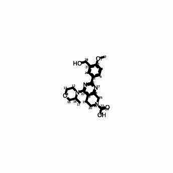 COc1ccc(-c2nc3c(c(N4CCOCC4C)n2)CCN(C(=O)O)C3)cc1CO